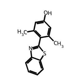 Cc1cc(O)cc(C)c1-c1nc2ccccc2s1